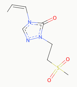 C/C=C\n1cnn(CCS(C)(=O)=O)c1=O